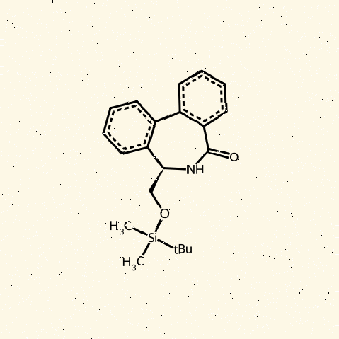 CC(C)(C)[Si](C)(C)OC[C@@H]1NC(=O)c2ccccc2-c2ccccc21